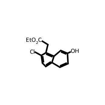 CCOC(=O)Cc1c(Cl)ccc2ccc(O)cc12